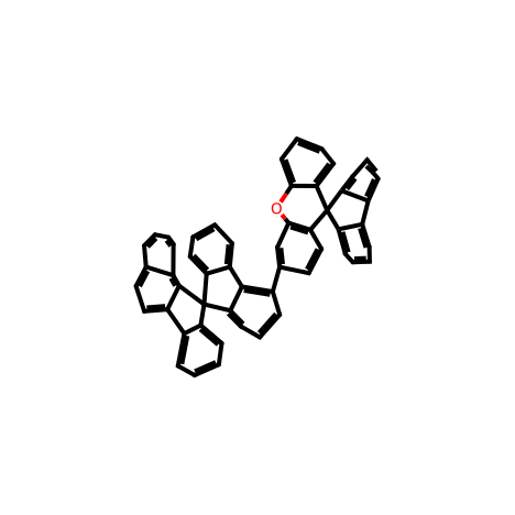 c1ccc2c(c1)Oc1cc(-c3cccc4c3-c3ccccc3C43c4ccccc4-c4ccc5ccccc5c43)ccc1C21c2ccccc2-c2ccccc21